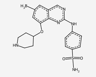 Bc1cc(OC2CCNCC2)c2nc(Nc3ccc(S(N)(=O)=O)cc3)ncc2c1